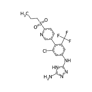 CCCS(=O)(=O)c1ccc(-c2c(Cl)cc(Nc3nnc(N)[nH]3)cc2C(F)(F)F)cn1